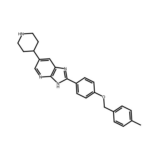 Cc1ccc(COc2ccc(-c3nc4cc(C5CCNCC5)cnc4[nH]3)cc2)cc1